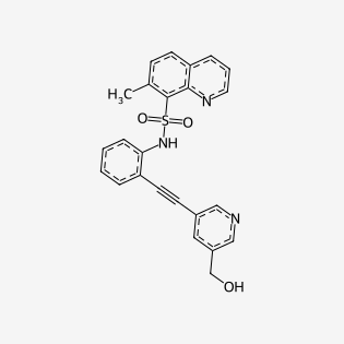 Cc1ccc2cccnc2c1S(=O)(=O)Nc1ccccc1C#Cc1cncc(CO)c1